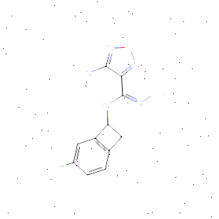 Nc1nonc1/C(=N\O)NC1Cc2ccc(F)cc21